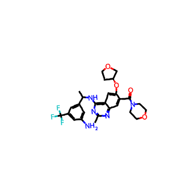 Cc1nc(NC(C)c2cc(N)cc(C(F)(F)F)c2)c2cc(O[C@H]3CCOC3)c(C(=O)N3CCOCC3)cc2n1